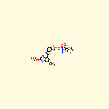 COc1cnc2c(-c3nc4ccc5c(c4s3)C[C@@H](COC(=O)NC(C)(C)C)O5)cc(C)cc2n1